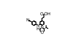 CC(C)[C@H]1COCCN1c1ccc(CCC(=O)O)cc1Nc1ccc(C#N)cc1